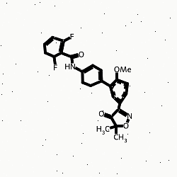 COc1ccc(C2=NOC(C)(C)C2=O)cc1C1=CC=C(NC(=O)C2=C(F)C=CCC2F)CC1